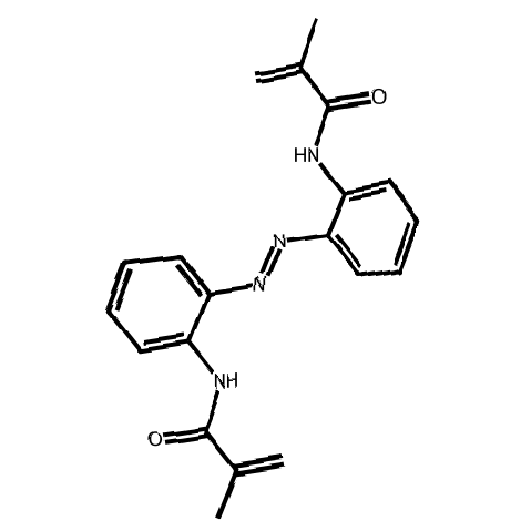 C=C(C)C(=O)Nc1ccccc1/N=N/c1ccccc1NC(=O)C(=C)C